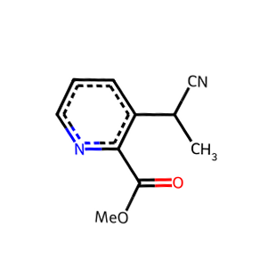 COC(=O)c1ncccc1C(C)C#N